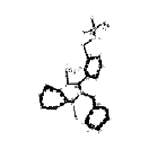 C[C@@H](c1ccccc1)N(Cc1ccccc1)C(CC(=O)O)c1cccc(CO[Si](C)(C)C(C)(C)C)c1